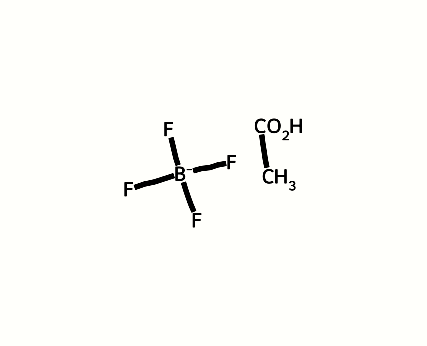 CC(=O)O.F[B-](F)(F)F